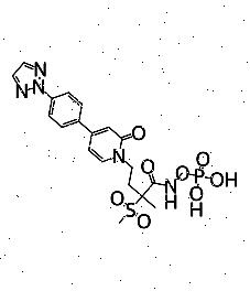 CC(CCn1ccc(-c2ccc(-n3nccn3)cc2)cc1=O)(C(=O)NOP(=O)(O)O)S(C)(=O)=O